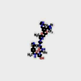 CCn1cc(-c2cc(Cn3ccnc3C)cc3c2OC[C@@H](Cc2cc(C)cc(N4CC(N(C)CC(=O)N[C@H](C(=O)N5C[C@H](O)C[C@H]5C(=O)N[C@@H](C)c5ccc(-c6scnc6C)cc5)C(C)(C)C)C4)n2)C3=O)c(C(F)(F)F)n1